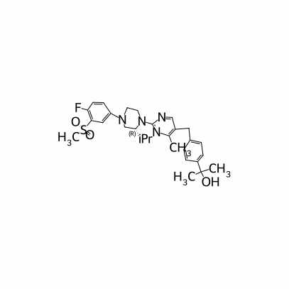 Cc1nc(N2CCN(c3ccc(F)c(S(C)(=O)=O)c3)C[C@H]2C(C)C)ncc1Cc1ccc(C(C)(C)O)cc1